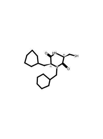 O=C1N[C@@H](CS)C(=O)N(CC2CCCCC2)[C@H]1CC1CCCCC1